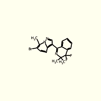 Cc1c(Br)ccc2c(C3=NC(C)(C)C(F)(F)c4ccccc43)cnn12